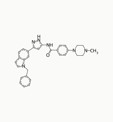 CN1CCN(c2ccc(C(=O)Nc3cc(-c4ccc5ccn(Cc6ccccc6)c5c4)n[nH]3)cc2)CC1